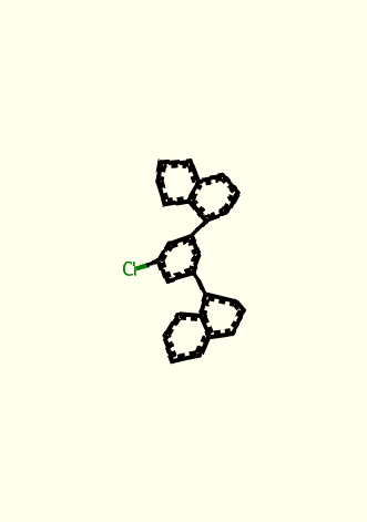 Clc1cc(-c2cccc3ccccc23)cc(-c2cccc3ccccc23)c1